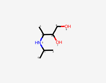 CC(C)NC(C)C(O)CO